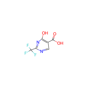 O=C(O)c1cnc(C(F)(F)F)nc1O